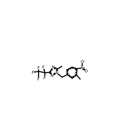 Cc1cc(Cn2nc(C(F)(F)C(F)(F)F)nc2C)ccc1[N+](=O)[O-]